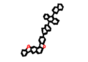 c1ccc2cc(-c3c4ccccc4c(-c4ccc5cc(-c6ccc7c(c6)oc6ccc8cc9c(cc8c67)oc6ccccc69)ccc5c4)c4ccccc34)ccc2c1